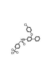 CCS(=O)(=O)c1ccc(CC(=O)Nc2ccc(-c3ccccc3)c(Oc3ccc(Cl)cc3)c2)cc1